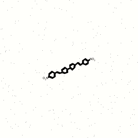 O=[N+]([O-])c1ccc(C=Cc2ccc(-c3ccc(C=Cc4ccc([N+](=O)[O-])cc4)cc3)cc2)cc1